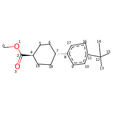 COC(=O)[C@H]1CC[C@H](c2ccc(C(C)(C)C)cc2)CC1